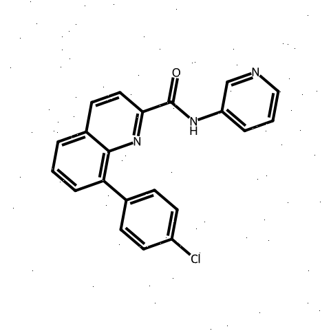 O=C(Nc1cccnc1)c1ccc2cccc(-c3ccc(Cl)cc3)c2n1